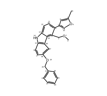 COCc1c(-c2cc(C)on2)ncc2[nH]c3ccc(OCc4ccccc4)cc3c12